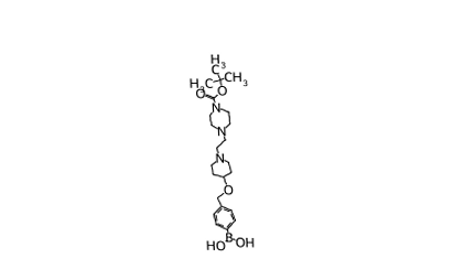 CC(C)(C)OC(=O)N1CCN(CCN2CCC(OCc3ccc(B(O)O)cc3)CC2)CC1